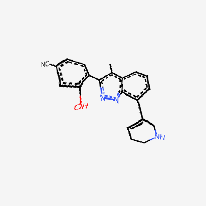 Cc1c(-c2ccc(C#N)cc2O)nnc2c(C3=CCCNC3)cccc12